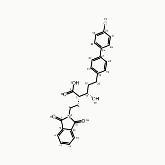 O=C(O)[C@@H](CCN1C(=O)c2ccccc2C1=O)[C@@H](O)CCc1ccc(-c2ccc(Cl)cc2)cc1